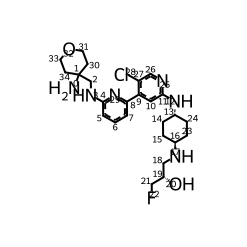 NC1(CNc2cccc(-c3cc(N[C@H]4CC[C@H](NC[C@H](O)CF)CC4)ncc3Cl)n2)CCOCC1